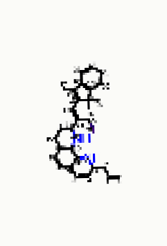 C=CCC1C=CC2C=CC3CCC(/C(=C/C4=C(C)C5=C(CCC=C5)C4(C)C)CI)NC3C2N1